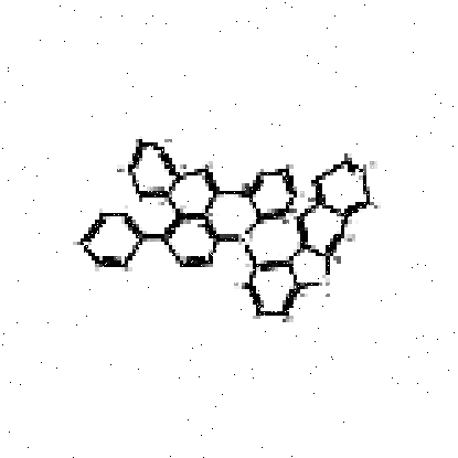 c1ccc(-c2ccc(N(c3ccccc3-c3ccc4ccccc4c3)c3cccc4oc5cc6cnccc6cc5c34)cc2)cc1